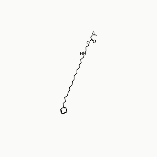 CN(C)CC(=O)OCCCNCCCCCCCCCCCCCCCCCCc1ccccc1